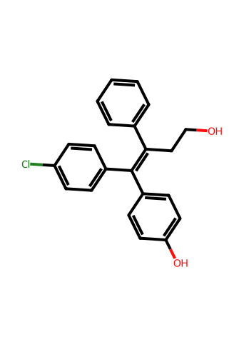 OCC/C(=C(\c1ccc(O)cc1)c1ccc(Cl)cc1)c1ccccc1